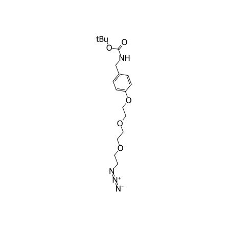 CC(C)(C)OC(=O)NCc1ccc(OCCOCCOCCN=[N+]=[N-])cc1